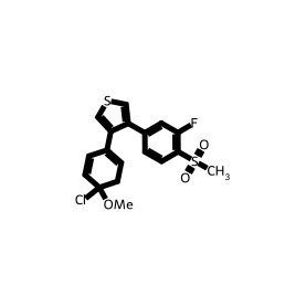 COC1(Cl)C=CC(c2cscc2-c2ccc(S(C)(=O)=O)c(F)c2)=CC1